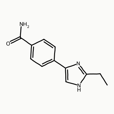 CCc1nc(-c2ccc(C(N)=O)cc2)c[nH]1